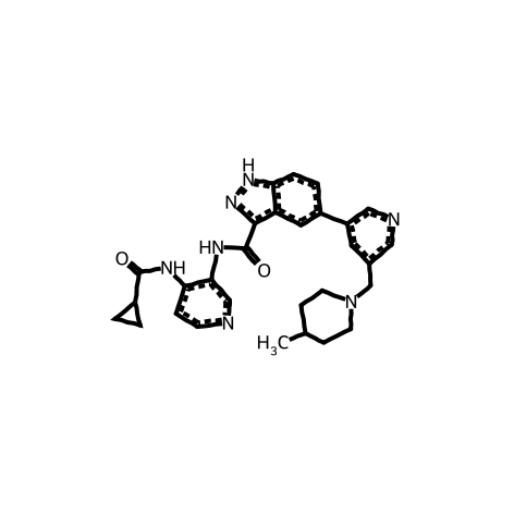 CC1CCN(Cc2cncc(-c3ccc4[nH]nc(C(=O)Nc5cnccc5NC(=O)C5CC5)c4c3)c2)CC1